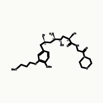 COCCCOc1cc(C[C@@H](C[C@H](N)[C@@H](O)C[C@H](C(=O)NCC(=O)N2CCOCC2)C(C)C)C(C)C)ccc1OC